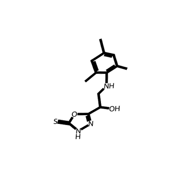 Cc1cc(C)c(NCC(O)c2n[nH]c(=S)o2)c(C)c1